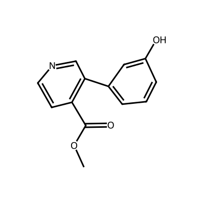 COC(=O)c1ccncc1-c1cccc(O)c1